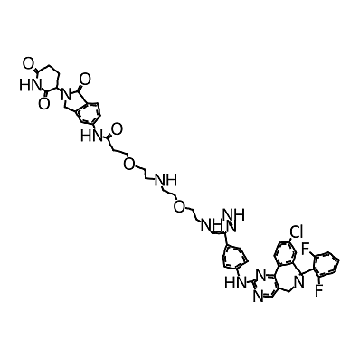 N=N/C(=C\NCCOCCNCCOCCC(=O)Nc1ccc2c(c1)CN(C1CCC(=O)NC1=O)C2=O)c1ccc(Nc2ncc3c(n2)-c2ccc(Cl)cc2C(c2c(F)cccc2F)=NC3)cc1